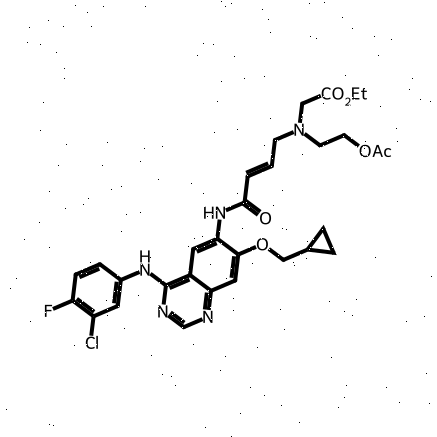 CCOC(=O)CN(CC=CC(=O)Nc1cc2c(Nc3ccc(F)c(Cl)c3)ncnc2cc1OCC1CC1)CCOC(C)=O